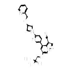 CC(C)(O)COc1cc(-c2ccc(N3CC(OCc4ccccn4)C3)nc2)c2c(C#N)cnn2c1